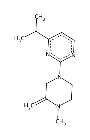 C=C1CN(c2nccc(C(C)C)n2)CCN1C